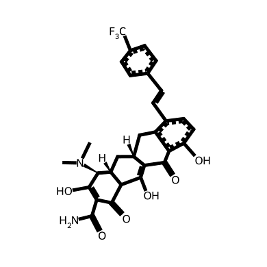 CN(C)[C@@H]1C(O)=C(C(N)=O)C(=O)C2C(O)=C3C(=O)c4c(O)ccc(/C=C/c5ccc(C(F)(F)F)cc5)c4C[C@H]3C[C@H]21